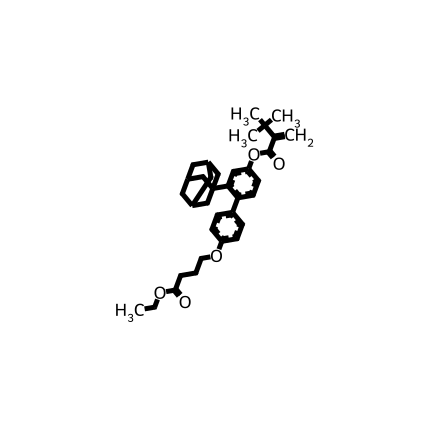 C=C(C(=O)Oc1ccc(-c2ccc(OCCCC(=O)OCC)cc2)c(C23CC4CC(CC(C4)C2)C3)c1)C(C)(C)C